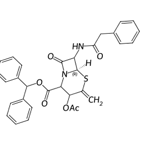 C=C1S[C@@H]2C(NC(=O)Cc3ccccc3)C(=O)N2C(C(=O)OC(c2ccccc2)c2ccccc2)C1OC(C)=O